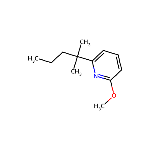 CCCC(C)(C)c1cccc(OC)n1